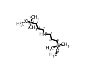 CO[Si](C)(C)CCCNCCC[Si](C)(C)OC